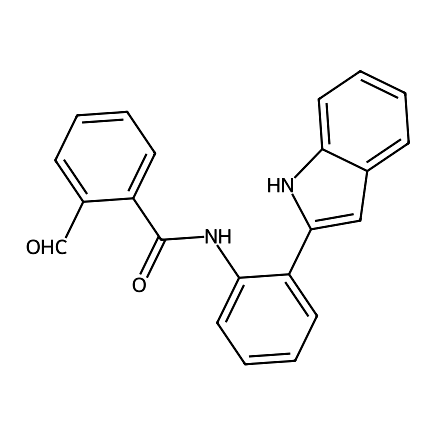 O=Cc1ccccc1C(=O)Nc1ccccc1-c1cc2ccccc2[nH]1